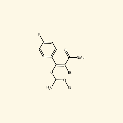 CCOC(C)O/C(=C(\CC)C(=O)NC)c1ccc(F)cc1